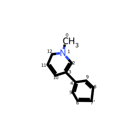 CN1C=C(c2cc[c]cc2)C=CC1